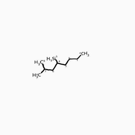 CCCCC([SiH3])CC(C)C